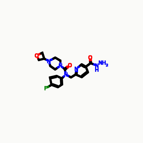 NNC(=O)c1ccc(CN(C(=O)N2CCN(C3COC3)CC2)c2ccc(F)cc2)nc1